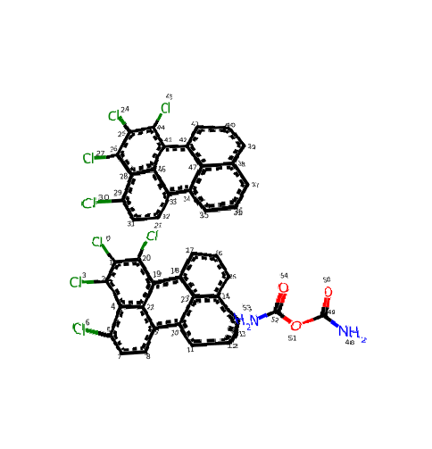 Clc1c(Cl)c2c(Cl)ccc3c4cccc5cccc(c(c1Cl)c23)c54.Clc1c(Cl)c2c(Cl)ccc3c4cccc5cccc(c(c1Cl)c23)c54.NC(=O)OC(N)=O